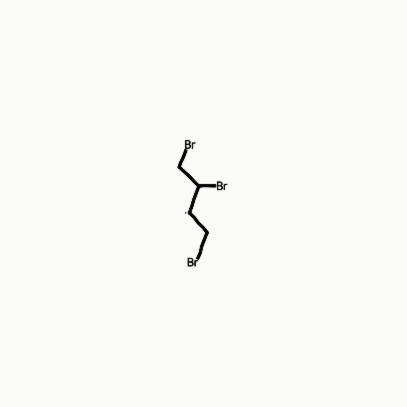 BrC[CH]C(Br)CBr